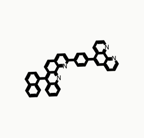 c1ccc2c(-c3c4ccccc4nc4c3ccc3ccc(-c5ccc(-c6cc7cccnc7c7ncccc67)cc5)nc34)cccc2c1